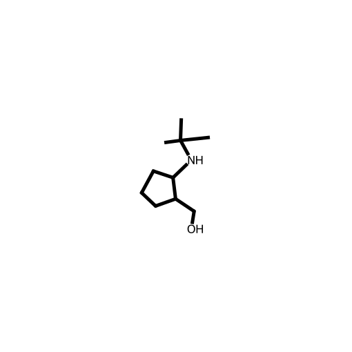 CC(C)(C)NC1CCCC1CO